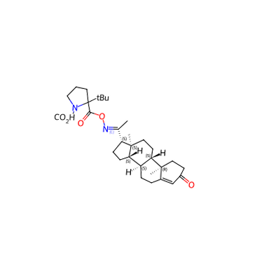 C/C(=N\OC(=O)C1(C(C)(C)C)CCCN1C(=O)O)[C@H]1CC[C@H]2[C@@H]3CCC4=CC(=O)CC[C@]4(C)[C@H]3CC[C@]12C